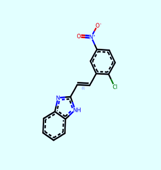 O=[N+]([O-])c1ccc(Cl)c(/C=C/c2nc3ccccc3[nH]2)c1